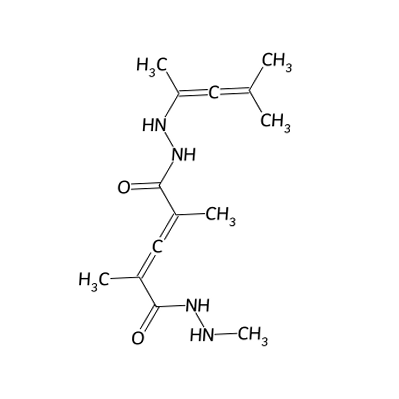 CNNC(=O)C(C)=C=C(C)C(=O)NNC(C)=C=C(C)C